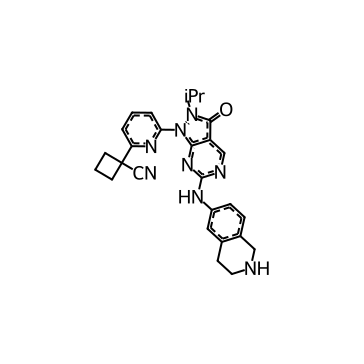 CC(C)n1c(=O)c2cnc(Nc3ccc4c(c3)CCNC4)nc2n1-c1cccc(C2(C#N)CCC2)n1